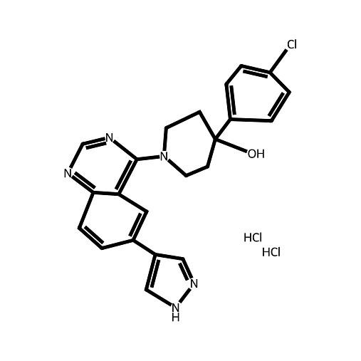 Cl.Cl.OC1(c2ccc(Cl)cc2)CCN(c2ncnc3ccc(-c4cn[nH]c4)cc23)CC1